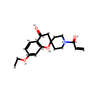 C=CC(=O)N1CCC2(CC1)CC(=O)c1ccc(OCC)cc1O2